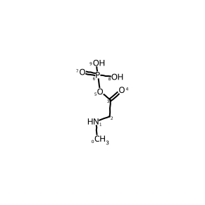 CNCC(=O)OP(=O)(O)O